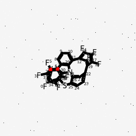 Fc1c(F)c(F)c(-c2cccc3c4c(F)c(F)c(F)c(c4F)c4ccc5c(c4)n(c23)-c2ccccc2S5)c(F)c1F